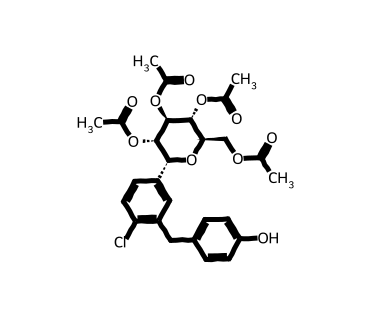 CC(=O)OC[C@H]1O[C@H](c2ccc(Cl)c(Cc3ccc(O)cc3)c2)[C@H](OC(C)=O)[C@@H](OC(C)=O)[C@@H]1OC(C)=O